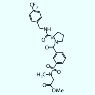 COC(=O)CN(C)S(=O)(=O)c1cccc(C(=O)N2CCC[C@@H]2C(=O)NCc2ccc(C(F)(F)F)cc2)c1